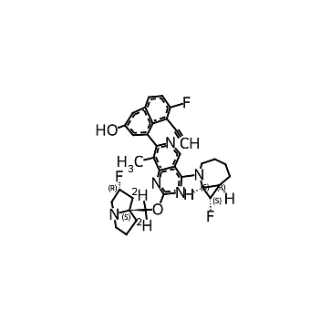 [2H]C([2H])(Oc1nc(N2CCCC[C@H]3[C@H](F)[C@H]32)c2cnc(-c3cc(O)cc4ccc(F)c(C#C)c34)c(C)c2n1)[C@@]12CCCN1C[C@H](F)C2